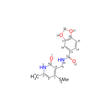 CSc1cc(C)[nH]c(=O)c1CNC(=O)c1ccc2c(c1)OCO2